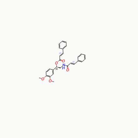 COc1ccc([C@H](CNC(=O)/C=C/c2ccccc2)OC(=O)/C=C/c2ccccc2)cc1OC